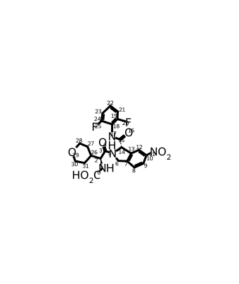 O=C(O)N[C@H](C(=O)N1Cc2ccc([N+](=O)[O-])cc2[C@H]1C(=O)Nc1c(F)cccc1F)C1CCOCC1